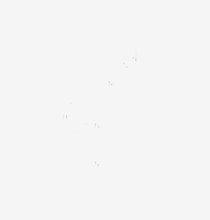 CC1(C)C(=O)N(CCCN)c2cc3c4c([nH]c3cc21)-c1n[nH]cc1CCC4